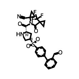 N#CC1(N(C(=O)[C@@H]2C[C@@H](S(=O)(=O)c3ccc(-c4ccccc4C=O)cc3)CN2)C(=O)C2(C(F)(F)F)CC2)CC1